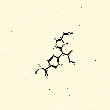 CCC(C)C(c1ccc(C(=O)OC)cn1)c1ncc(C=O)[nH]1